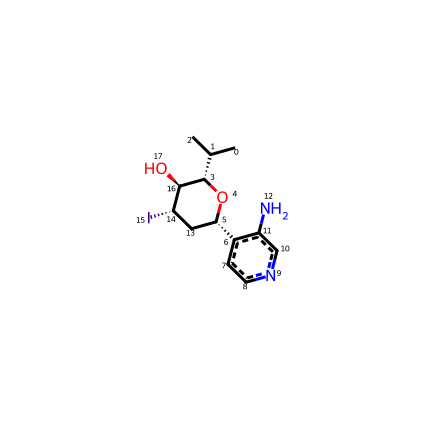 CC(C)[C@@H]1O[C@H](c2ccncc2N)C[C@H](I)[C@H]1O